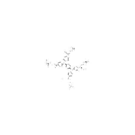 CN(CCCC(F)(F)F)c1ccc(N(c2ccc(N(C)CCCC(F)(F)F)cc2)c2ccc(N(c3ccc(N(F)CCCC(F)(F)F)cc3)c3ccc(N(F)CCCC(F)(F)F)cc3)cc2)cc1